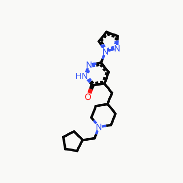 O=c1[nH]nc(-n2cccn2)cc1CC1CCN(CC2CCCC2)CC1